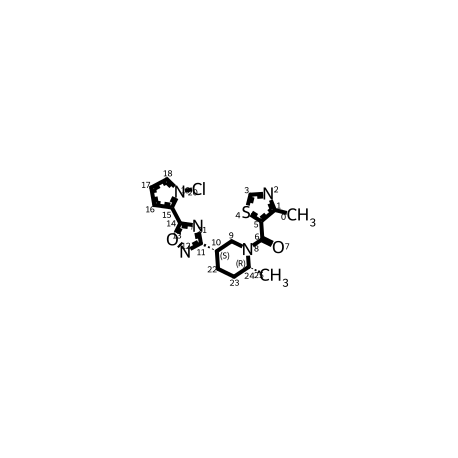 Cc1ncsc1C(=O)N1C[C@@H](c2noc(-c3cccn3Cl)n2)CC[C@H]1C